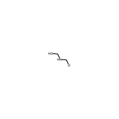 [O]CNCO